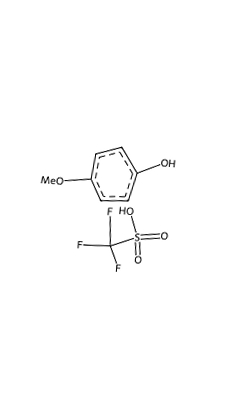 COc1ccc(O)cc1.O=S(=O)(O)C(F)(F)F